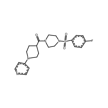 O=C(C1CCN(c2ccncc2)CC1)N1CCN(S(=O)(=O)c2ccc(F)cc2)CC1